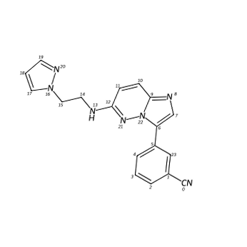 N#Cc1cccc(-c2cnc3ccc(NCCn4cccn4)nn23)c1